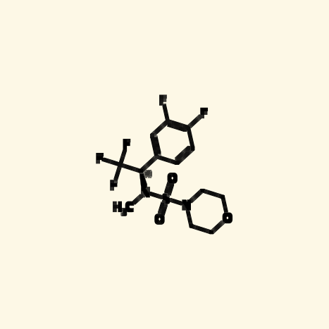 CN([C@H](c1ccc(F)c(F)c1)C(F)(F)F)S(=O)(=O)N1CCOCC1